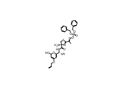 C=CCOC1=CC(O)OC([C@@H](CCC)NC(=O)[C@]2(N)CSC(/C(C)=N/OP(=O)(OCc3ccccc3)OCc3ccccc3)=N2)=C1